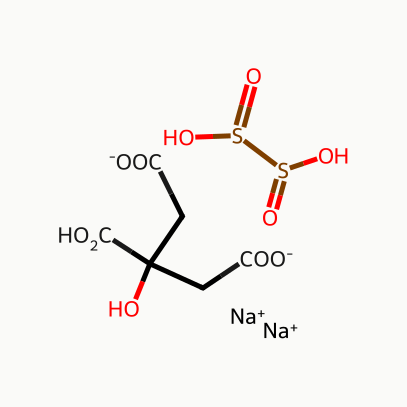 O=C([O-])CC(O)(CC(=O)[O-])C(=O)O.O=S(O)S(=O)O.[Na+].[Na+]